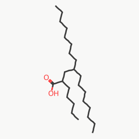 CCCCCCCCC(CCCCCCCC)CC(CCCCC)C(=O)O